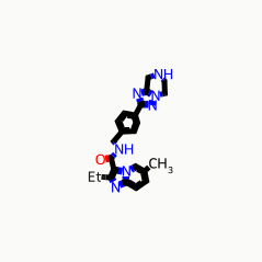 CCc1nc2ccc(C)cn2c1C(=O)NCc1ccc(-c2nc3n(n2)CCNC3)cc1